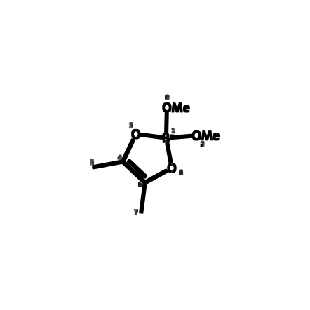 CO[B-]1(OC)OC(C)=C(C)O1